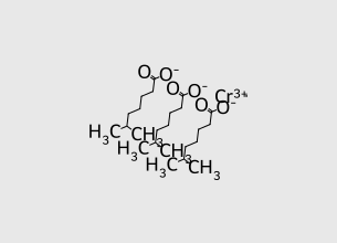 CC(C)CCCCC(=O)[O-].CC(C)CCCCC(=O)[O-].CC(C)CCCCC(=O)[O-].[Cr+3]